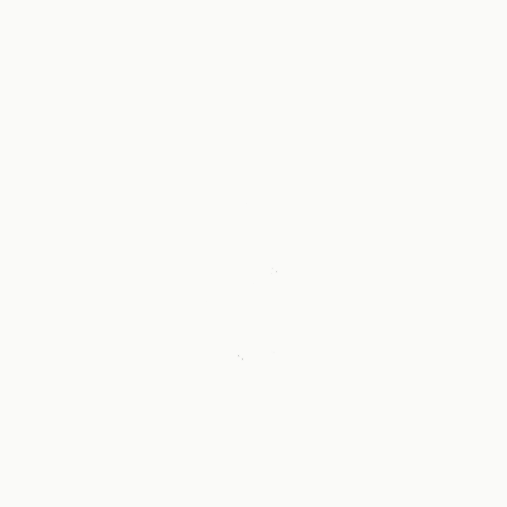 Cc1c(-c2ccccc2)cccc1-c1nc2cc(CN3CCC[C@H]3C(=O)O)c(F)cc2o1